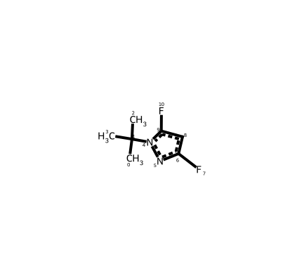 CC(C)(C)n1nc(F)cc1F